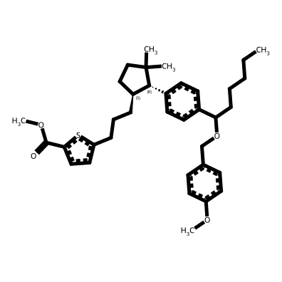 CCCCCC(OCc1ccc(OC)cc1)c1ccc([C@@H]2[C@@H](CCCc3ccc(C(=O)OC)s3)CCC2(C)C)cc1